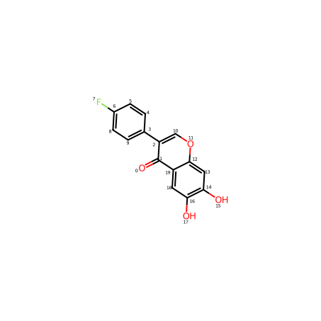 O=c1c(-c2ccc(F)cc2)coc2cc(O)c(O)cc12